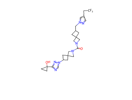 O=C(N1CC2(CC(Cn3cc(CC(F)(F)F)cn3)C2)C1)N1CC2(CC(n3cnc(C4(O)CC4)n3)C2)C1